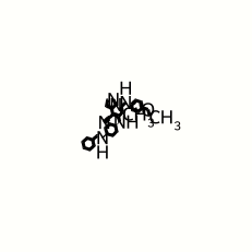 CCOc1ccc(Nc2c(C)c(N[C@H]3CC[C@H](NCC4CCCCC4)CC3)c(C#N)c3ccnn23)cc1